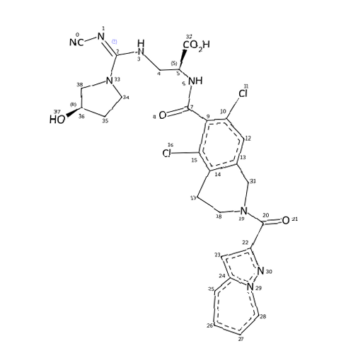 N#C/N=C(/NC[C@H](NC(=O)c1c(Cl)cc2c(c1Cl)CCN(C(=O)c1cc3ccccn3n1)C2)C(=O)O)N1CC[C@@H](O)C1